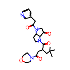 CC(C)(C)CC(CC(=O)N1CCOCC1)C(=O)N1CCC2C1C(=O)CN2C(=O)Cc1cccnc1